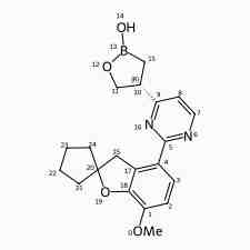 COc1ccc(-c2nccc([C@@H]3COB(O)C3)n2)c2c1OC1(CCCC1)C2